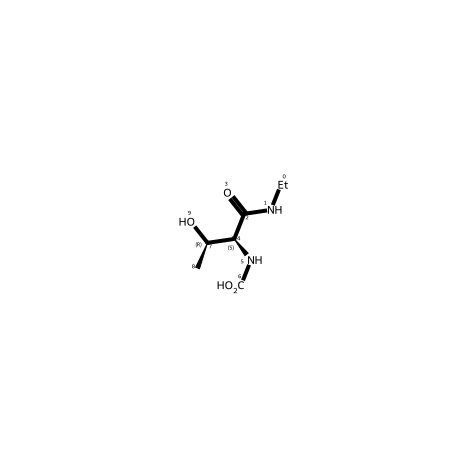 CCNC(=O)[C@@H](NC(=O)O)[C@@H](C)O